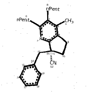 CCCCCc1nc2c(c(C)c1CCCCC)CC[C@@]2(C#N)Cc1ccccc1